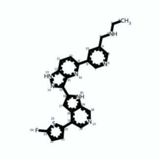 CCNCc1cncc(-c2ccc3[nH]nc(-c4cc5c(-c6ccc(F)s6)cncc5[nH]4)c3n2)c1